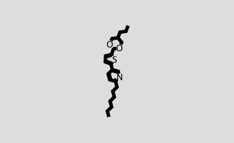 CCCCCCCc1ccc(-c2ccc(C3OCC(CCC)CO3)s2)cn1